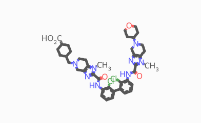 Cn1c(C(=O)Nc2cccc(-c3cccc(NC(=O)c4nc5c(n4C)CCN(C4CCOCC4)C5)c3Cl)c2Cl)nc2c1CCN(CC1CCC(C(=O)O)CC1)C2